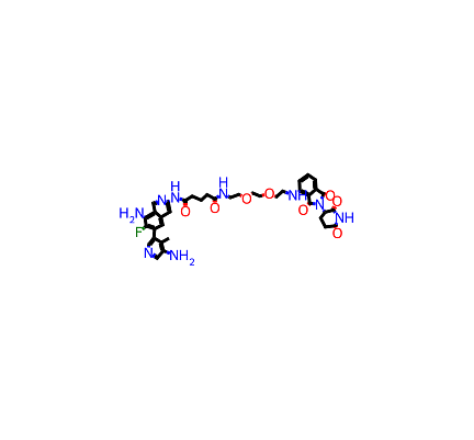 Cc1c(N)cncc1-c1cc2cc(NC(=O)CCCC(=O)NCCOCCOCCNc3cccc4c3C(=O)N(C3CCC(=O)NC3=O)C4=O)ncc2c(N)c1F